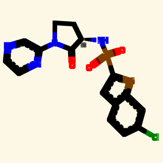 O=C1[C@@H](NS(=O)(=O)c2cc3ccc(Cl)cc3s2)CCN1c1cnccn1